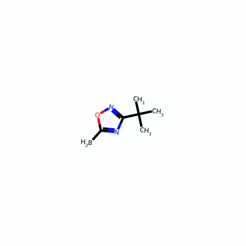 Bc1nc(C(C)(C)C)no1